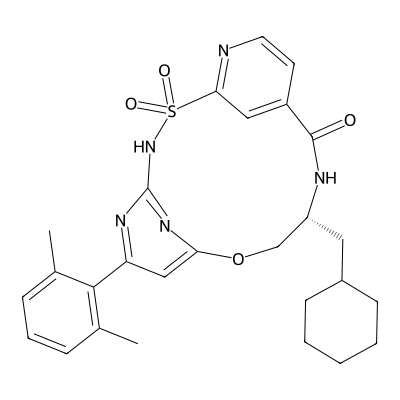 Cc1cccc(C)c1-c1cc2nc(n1)NS(=O)(=O)c1cc(ccn1)C(=O)N[C@H](CC1CCCCC1)CO2